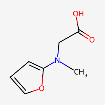 CN(CC(=O)O)c1ccco1